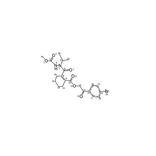 COC(=O)NN(C(=O)C1=C(C(=O)OCC(=O)c2ccc(Br)cc2)CCCC1)C(C)C